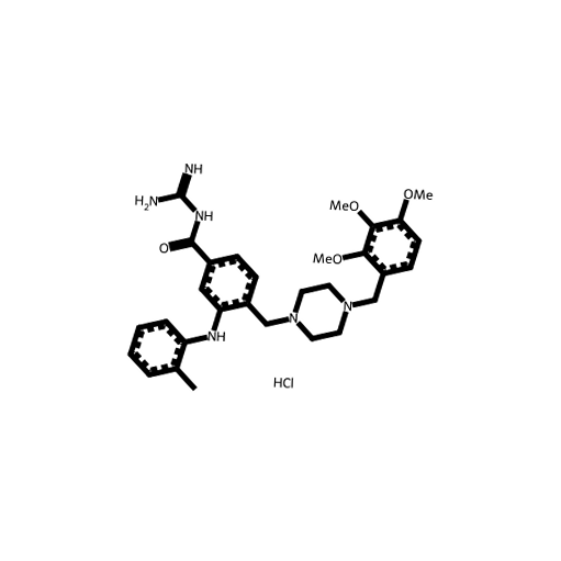 COc1ccc(CN2CCN(Cc3ccc(C(=O)NC(=N)N)cc3Nc3ccccc3C)CC2)c(OC)c1OC.Cl